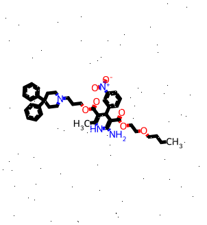 CCCCOCCOC(=O)C1=C(N)NC(C)=C(C(=O)OCCCN2CCC(c3ccccc3)(c3ccccc3)CC2)C1c1cccc([N+](=O)[O-])c1